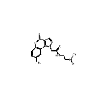 CCN(CC)CCNC(=O)Cn1ncc2c(=O)oc3ccc(C)cc3c21